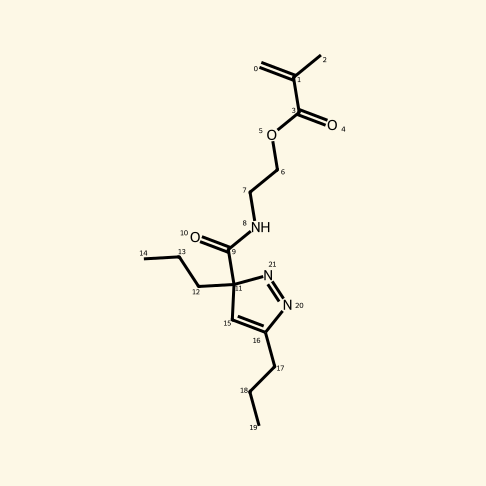 C=C(C)C(=O)OCCNC(=O)C1(CCC)C=C(CCC)N=N1